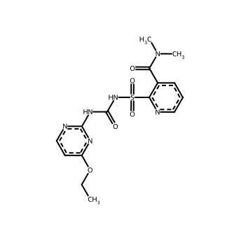 CCOc1ccnc(NC(=O)NS(=O)(=O)c2ncccc2C(=O)N(C)C)n1